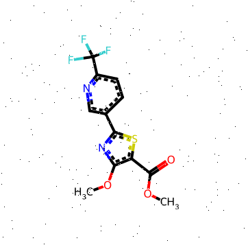 COC(=O)c1sc(-c2ccc(C(F)(F)F)nc2)nc1OC